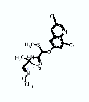 CO/N=C/C(C)(C)NC(=O)C(Oc1cc(Cl)c2ncc(Cl)cc2c1)SC